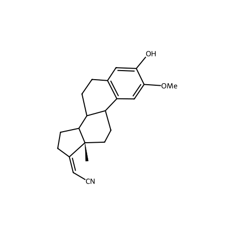 COc1cc2c(cc1O)CCC1C2CC[C@]2(C)/C(=C\C#N)CCC12